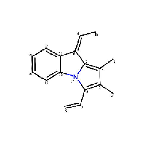 C=Cc1c(C)c(C)c2/c(=C\C)c3ccccc3n12